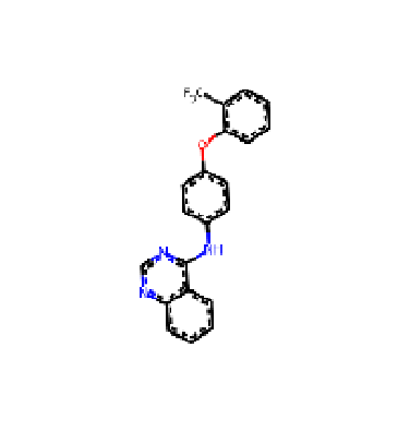 FC(F)(F)c1ccccc1Oc1ccc(Nc2ncnc3ccccc23)cc1